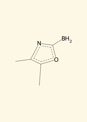 Bc1nc(C)c(C)o1